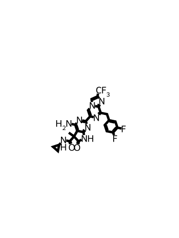 CC1(C(=O)NC2CC2)C(=O)Nc2nc(-c3cn4cc(C(F)(F)F)nc4c(Cc4ccc(F)c(F)c4)n3)nc(N)c21